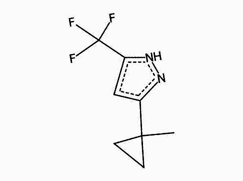 CC1(c2cc(C(F)(F)F)[nH]n2)CC1